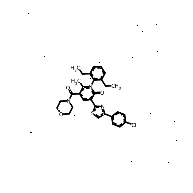 CCc1cccc(CC)c1-n1c(C)c(C(=O)N2CCOCC2)cc(-c2nc(-c3ccc(Cl)cc3)cs2)c1=O